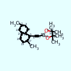 Cc1ccc2c(C#CB3OC(C)(C)C(C)(C)O3)c(C)ccc2c1